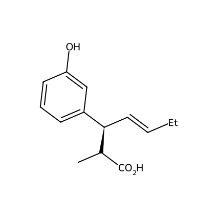 CCC=C[C@H](c1cccc(O)c1)C(C)C(=O)O